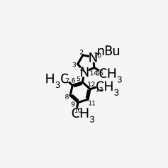 CCCCN1CCN(c2c(C)cc(C)cc2C)C1C